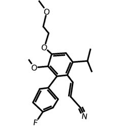 COCCOc1cc(C(C)C)c(/C=C/C#N)c(-c2ccc(F)cc2)c1OC